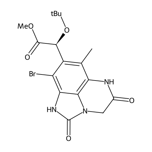 COC(=O)[C@@H](OC(C)(C)C)c1c(C)c2c3c([nH]c(=O)n3CC(=O)N2)c1Br